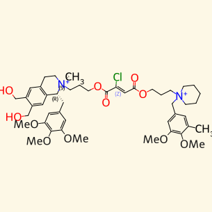 COc1cc(C[N+]2(CCCOC(=O)/C=C(\Cl)C(=O)OCCC[N@+]3(C)CCc4cc(CO)c(CO)cc4[C@H]3Cc3cc(OC)c(OC)c(OC)c3)CCCCC2)cc(C)c1OC